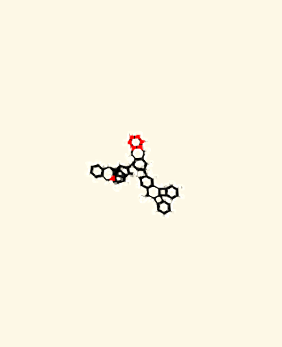 O=C1c2cc3c(cc2C2c4ccccc4C1c1ccccc12)c1c2c(cc4c5cc6c(cc5n3c41)C(=O)C1c3ccccc3C13c1ccccc1C63)C1c3ccccc3C2c2ccccc21